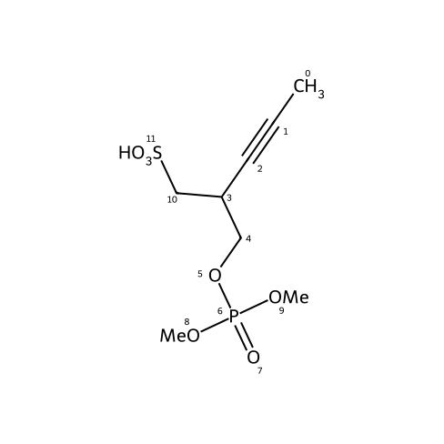 CC#CC(COP(=O)(OC)OC)CS(=O)(=O)O